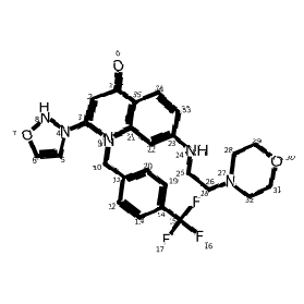 O=c1cc(N2C=CON2)n(Cc2ccc(C(F)(F)F)cc2)c2cc(NCCN3CCOCC3)ccc12